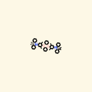 Cc1cc(N2c3ccccc3[Si](C)(C)c3ccccc32)cc(C)c1B1c2ccccc2B(c2c(C)cc(N3c4ccccc4[Si](C)(C)c4ccccc43)cc2C)c2ccccc21